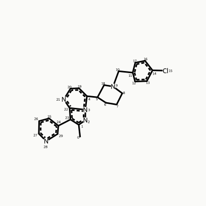 Cc1nn2c(C3CCCN(Cc4ccc(Cl)cc4)C3)ccnc2c1-c1cccnc1